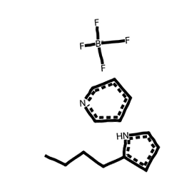 CCCCc1ccc[nH]1.F[B-](F)(F)F.c1ccncc1